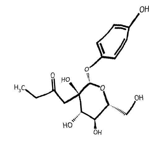 CCC(=O)C[C@]1(O)[C@H](Oc2ccc(O)cc2)O[C@H](CO)[C@@H](O)[C@@H]1O